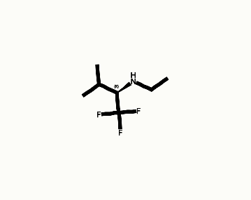 CCN[C@H](C(C)C)C(F)(F)F